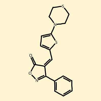 O=C1ON=C(c2ccccc2)/C1=C/c1ccc(N2CCSCC2)s1